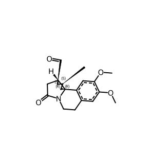 COc1cc2c(cc1OC)[C@@]13C[C@H](C)[C@@H](C=O)[C@@H]1CC(=O)N3CC2